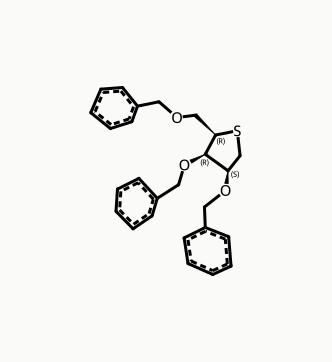 c1ccc(COC[C@H]2SC[C@@H](OCc3ccccc3)[C@H]2OCc2ccccc2)cc1